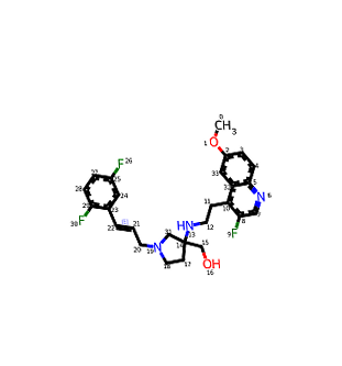 COc1ccc2ncc(F)c(CCNC3(CO)CCN(C/C=C/c4cc(F)ccc4F)C3)c2c1